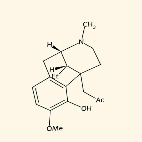 CC[C@@H]1[C@@H]2Cc3ccc(OC)c(O)c3C1(CC(C)=O)CCN2C